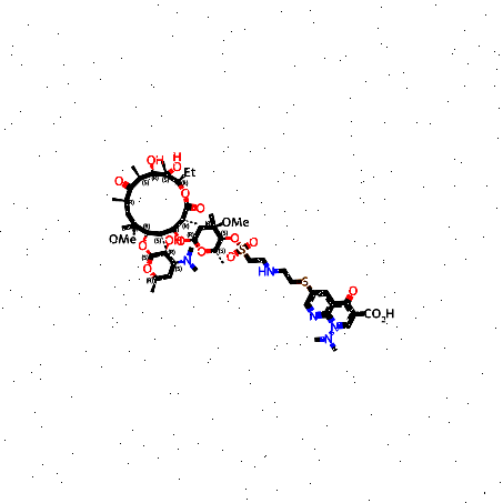 CC[C@H]1OC(=O)[C@H](C)[C@@H](O[C@H]2C[C@@](C)(OC)[C@@H](OS(=O)(=O)CCNCCSc3cnc4c(c3)c(=O)c(C(=O)O)cn4N(C)C)[C@H](C)O2)[C@H](C)[C@@H](O[C@@H]2O[C@H](C)C[C@H](N(C)C)[C@H]2O)[C@](C)(OC)C[C@@H](C)C(=O)[C@@H](C)[C@@H](O)[C@]1(C)O